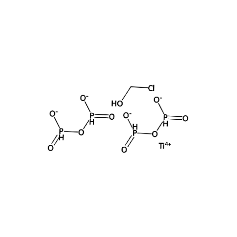 O=[PH]([O-])O[PH](=O)[O-].O=[PH]([O-])O[PH](=O)[O-].OCCl.[Ti+4]